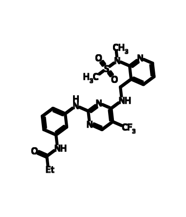 CCC(=O)Nc1cccc(Nc2ncc(C(F)(F)F)c(NCc3cccnc3N(C)S(C)(=O)=O)n2)c1